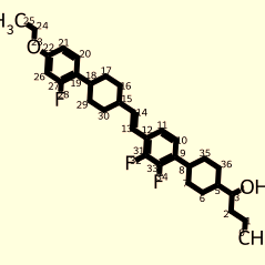 CCCC(O)C1CCC(c2ccc(/C=C/C3CCC(c4ccc(OCC)cc4F)CC3)c(F)c2F)CC1